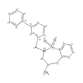 CC1Cc2ccccc2S(=O)(=O)N(Cc2cccc(-c3ccccc3)c2)C1